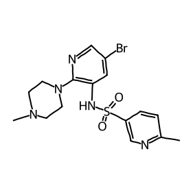 Cc1ccc(S(=O)(=O)Nc2cc(Br)cnc2N2CCN(C)CC2)cn1